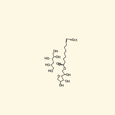 CCCCCCCC/C=C\CCCCCCCC(=O)OC[C@@H](O)[C@H]1OC[C@H](O)[C@H]1O.OC[C@@H](O)[C@@H](O)[C@H](O)[C@@H](O)CO